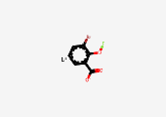 O=C([O-])c1cccc(Br)c1OF.[Li+]